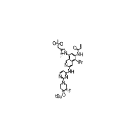 C=CC(=O)Nc1cc(N2C[C@H](CS(C)(=O)=O)[C@H]2C)c2cnc(Nc3ccnc(N4CC[C@@H](OC(C)(C)C)[C@@H](F)C4)n3)cc2c1C(C)C